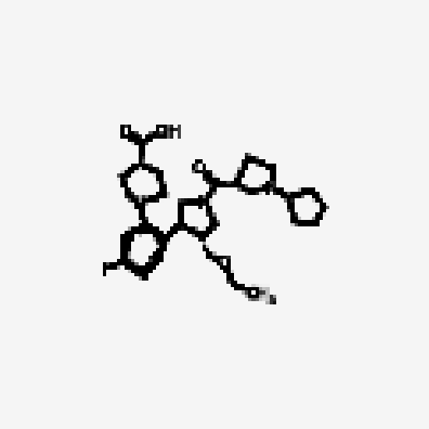 CCOC[C@H]1CN(C(=O)[C@H]2CCN(C3CCCC3)C2)CC1c1ccc(F)cc1N1CCC(C(=O)O)CC1